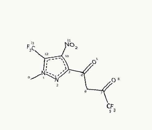 Cn1nc(C(=O)CC(=O)C(F)(F)F)c([N+](=O)[O-])c1C(F)(F)F